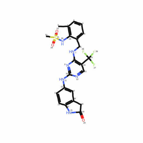 Cc1cccc(CNc2nc(Nc3ccc4c(c3)CC(=O)N4)ncc2C(F)(F)F)c1NS(C)(=O)=O